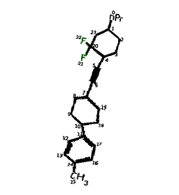 CCCC1CCC(C#CC2CCC(c3ccc(C)cc3)CC2)C(F)(F)C1